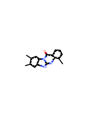 Cc1cc2[nH]c3nc4c(C)cccc4c(=O)n3c2cc1C